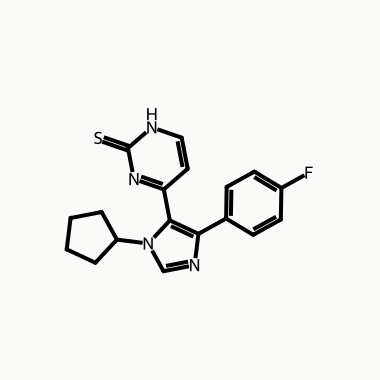 Fc1ccc(-c2ncn(C3CCCC3)c2-c2cc[nH]c(=S)n2)cc1